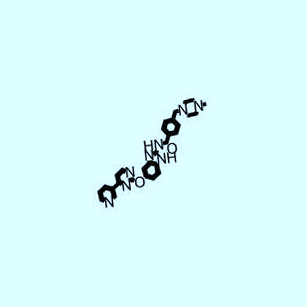 CN1CCN(Cc2ccc(C(=O)Nc3nc4cc(Oc5nccc(-c6cccnc6)n5)ccc4[nH]3)cc2)CC1